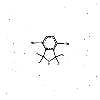 CC(C)(C)c1ccc(C(C)(C)C)c2c1C(C)(C)NC2(C)C